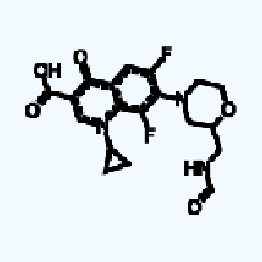 O=CNCC1CN(c2c(F)cc3c(=O)c(C(=O)O)cn(C4CC4)c3c2F)CCO1